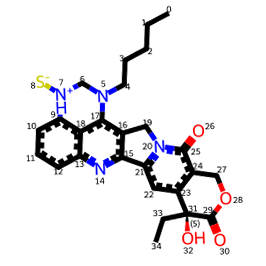 CCCCCN1C[NH+]([S-])c2cccc3nc4c(c1c23)Cn1c-4cc2c(c1=O)COC(=O)[C@]2(O)CC